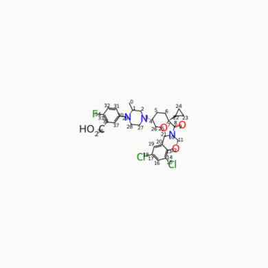 CC1CN([C@@H]2CC[C@@](C(=O)N3COc4c(Cl)cc(Cl)cc4C3)(C3CC3)OC2)CCN1c1ccc(F)c(C(=O)O)c1